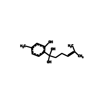 CC(C)=CCCC(O)(O)c1ccc(C)cc1O